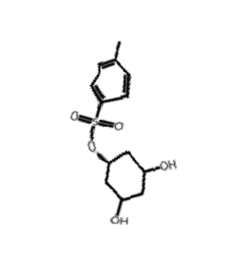 Cc1ccc(S(=O)(=O)OC2CC(O)CC(O)C2)cc1